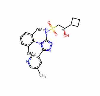 COc1cccc(OC)c1-n1c(NS(=O)(=O)C[C@H](O)C2CCC2)nnc1-c1cncc(C)c1